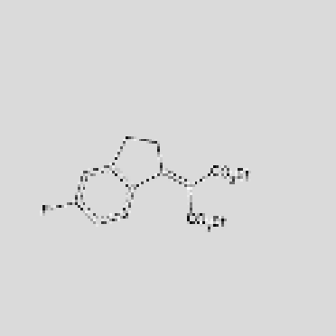 CCOC(=O)C(C(=O)OCC)=C1CCc2cc(F)ccc21